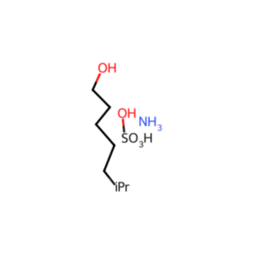 CC(C)CCCCCO.N.O=S(=O)(O)O